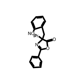 CC(C)C1(Cc2ccccc2[N+](=O)[O-])N=C(c2ccccc2)OC1=O